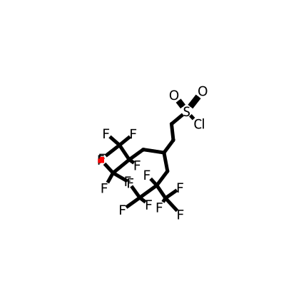 O=S(=O)(Cl)CCC(CC(F)(C(F)(F)F)C(F)(F)F)CC(F)(C(F)(F)F)C(F)(F)F